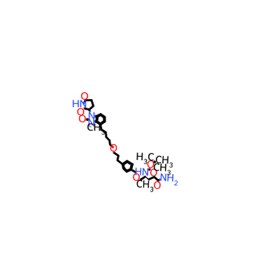 C[C@@H](OCc1ccc(CCCOCCCCCc2cccc3c2n(C)c(=O)n3C2CCC(=O)NC2=O)cc1)[C@H](CCC(N)=O)NC(=O)OC(C)(C)C